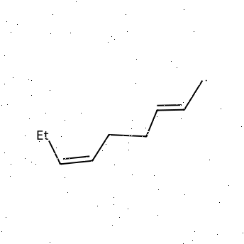 [CH2]/C=C/CC/C=C\CC